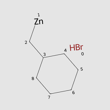 Br.[Zn][CH2]C1CCCCC1